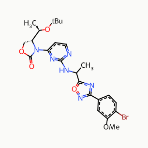 COc1cc(-c2noc(C(C)Nc3nccc(N4C(=O)OC[C@@H]4[C@@H](C)OC(C)(C)C)n3)n2)ccc1Br